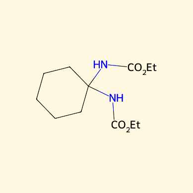 CCOC(=O)NC1(NC(=O)OCC)CCCCC1